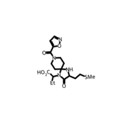 CCC(C(=O)O)N1C(=O)C(CCSC)NC12CCN(C(=O)c1ccno1)CC2